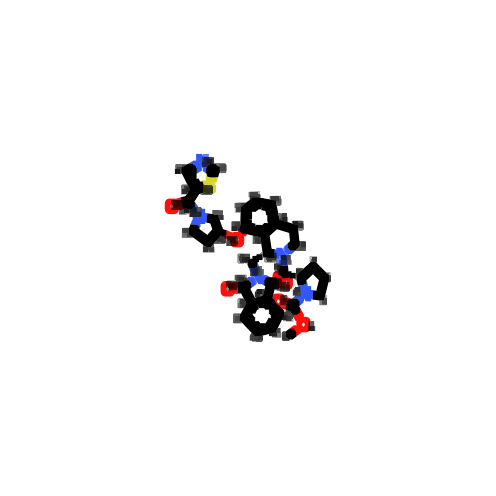 COC(=O)N1CCC[C@H]1C(=O)N1CCc2cccc(O[C@H]3CCN(C(=O)c4cncs4)C3)c2[C@H]1CN1C(=O)c2ccccc2C1=O